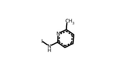 Cc1cccc(NI)n1